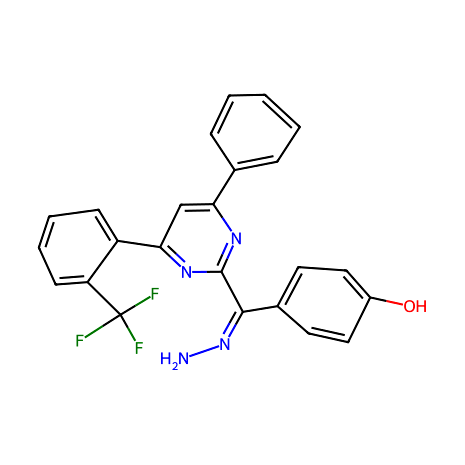 NN=C(c1ccc(O)cc1)c1nc(-c2ccccc2)cc(-c2ccccc2C(F)(F)F)n1